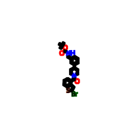 CC(C)(C)OC(=O)NCc1cccc(C2CCN(C(=O)c3cccc4c3CC(Br)S4)CC2)c1